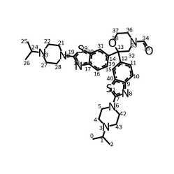 CC(C)N1CCN(c2nc3ccc(C4(c5ccc6nc(N7CCN(C(C)C)CC7)sc6c5)CN(C=O)CCO4)cc3s2)CC1